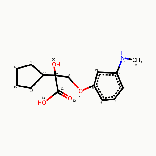 CNc1cccc(OCC(O)(C(=O)O)C2CCCC2)c1